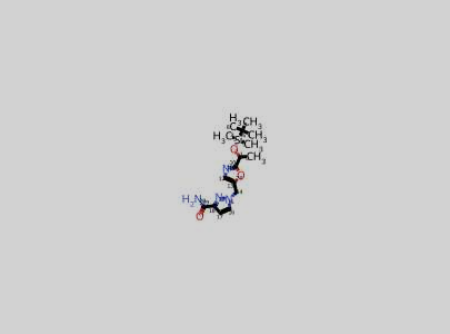 CC(O[Si](C)(C)C(C)(C)C)c1ncc(Cn2ccc(C(N)=O)n2)o1